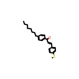 CCCCCCCCc1ccc(C(=O)/C=C/c2ccc(SC)cc2)cc1